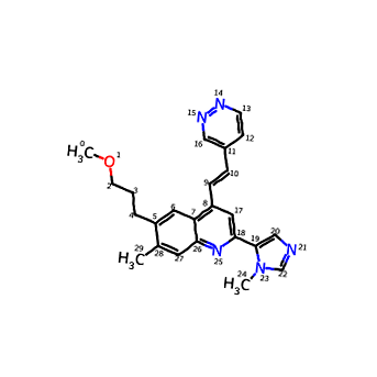 COCCCc1cc2c(/C=C/c3ccnnc3)cc(-c3cncn3C)nc2cc1C